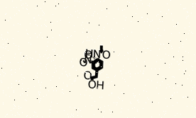 CC(=O)Nc1ccc(CC(=O)O)cc1[N+](=O)[O-]